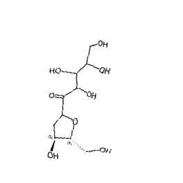 O=C(C1C[C@H](O)[C@@H](CO)O1)C(O)C(O)C(O)CO